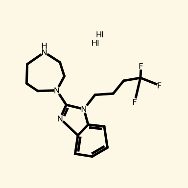 FC(F)(F)CCCn1c(N2CCCNCC2)nc2ccccc21.I.I